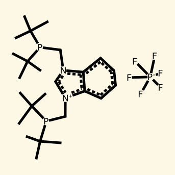 CC(C)(C)P(Cn1c[n+](CP(C(C)(C)C)C(C)(C)C)c2ccccc21)C(C)(C)C.F[P-](F)(F)(F)(F)F